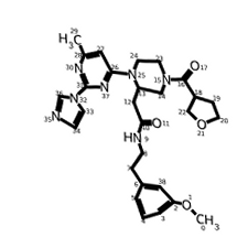 COc1cccc(CCNC(=O)CC2CN(C(=O)C3CCOC3)CCN2c2cc(C)nc(-n3ccnc3)n2)c1